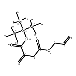 C=CCOC(=O)CC(=C)C(=O)O[Si]([Si](C)(C)C)([Si](C)(C)C)[Si](C)(C)C